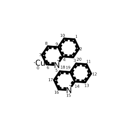 [Cu].c1ccc2ncccc2c1.c1ccc2ncccc2c1